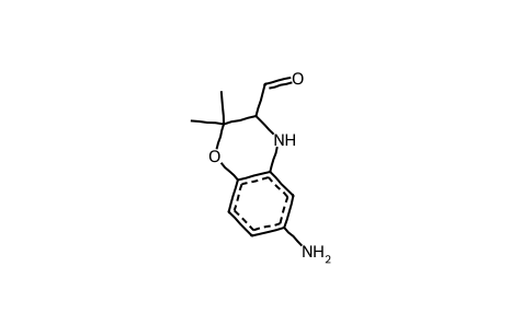 CC1(C)Oc2ccc(N)cc2NC1C=O